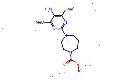 COc1nc(N2CCCN(C(=O)OC(C)(C)C)CC2)nc(OC)c1N